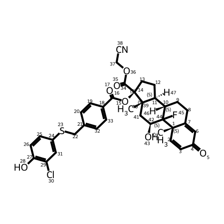 C[C@]12C=CC(=O)C=C1CC[C@H]1[C@@H]3CC[C@@](OC(=O)c4ccc(CSc5ccc(O)c(Cl)c5)cc4)(C(=O)OCC#N)[C@@]3(C)C[C@H](O)C12F